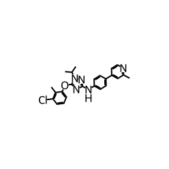 Cc1cc(-c2ccc(Nc3nc(Oc4cccc(Cl)c4C)n(C(C)C)n3)cc2)ccn1